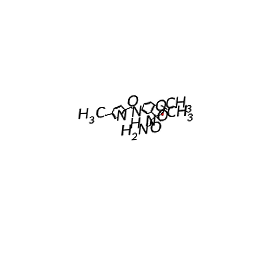 CCc1ccc(C(=O)Nc2ccc3c(c2)C2(COC(N)=N2)C2(COC2)C(C)(C)O3)nc1